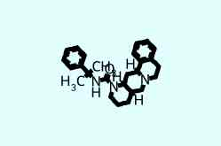 CC(C)(NC(=O)N1CCC[C@H]2CN3CCc4ccccc4[C@H]3C[C@H]21)c1ccccc1